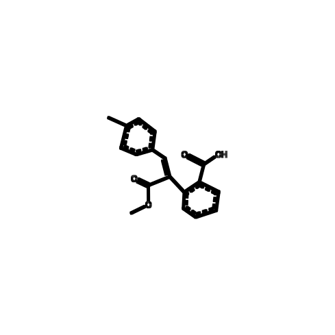 COC(=O)C(=Cc1ccc(C)cc1)c1ccccc1C(=O)O